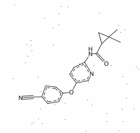 CC1(C)CC1C(=O)Nc1ccc(Oc2ccc(C#N)cc2)cn1